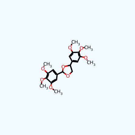 COc1cc(C2COC(c3cc(OC)c(OC)c(OC)c3)O2)cc(OC)c1OC